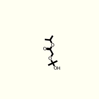 CC(C)OC(=O)COC(C)(C)O